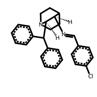 Clc1ccc(C=N[C@@H]2C3CCN(CC3)[C@@H]2C(c2ccccc2)c2ccccc2)cc1